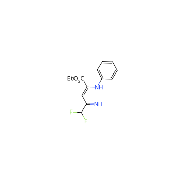 CCOC(=O)/C(=C/C(=N)C(F)F)Nc1ccccc1